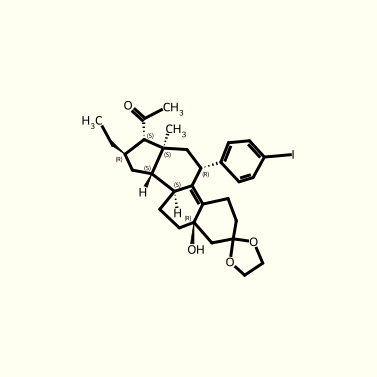 CC[C@@H]1C[C@H]2[C@@H]3CC[C@@]4(O)CC5(CCC4=C3[C@@H](c3ccc(I)cc3)C[C@]2(C)[C@H]1C(C)=O)OCCO5